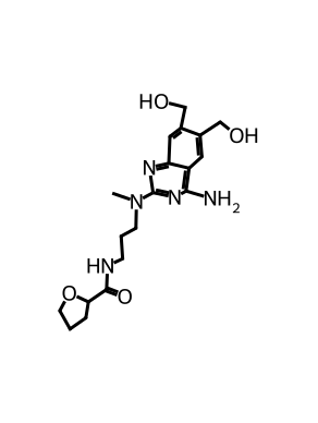 CN(CCCNC(=O)C1CCCO1)c1nc(N)c2cc(CO)c(CO)cc2n1